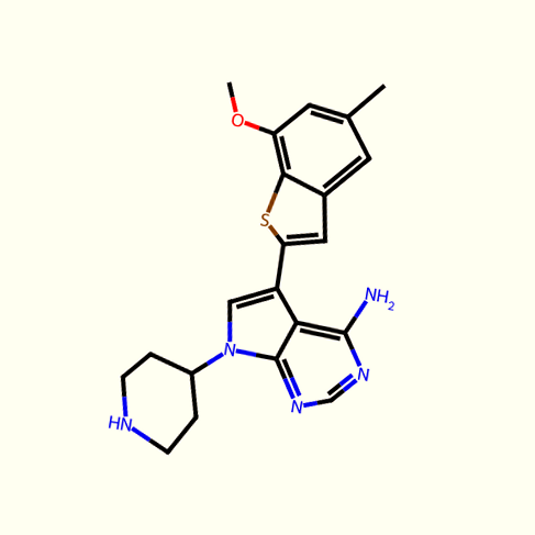 COc1cc(C)cc2cc(-c3cn(C4CCNCC4)c4ncnc(N)c34)sc12